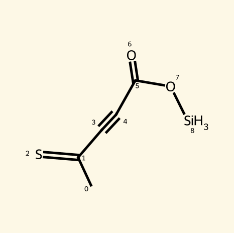 CC(=S)C#CC(=O)O[SiH3]